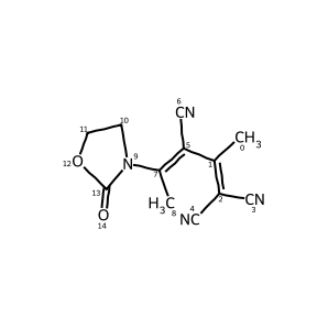 CC(=C(C#N)C#N)/C(C#N)=C(\C)N1CCOC1=O